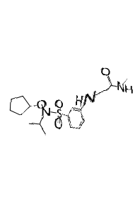 CNC(=O)CNc1cccc(S(=O)(=O)N(OC2CCCC2)C(C)C)c1